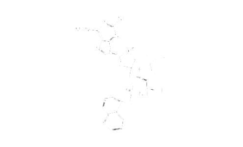 CNc1nc(N)nc2c1ncn2[C@@H]1O[C@](F)(CO[P@@](=O)(N[C@H](C)C(=O)OCC(C)(C)C)Oc2cccc3ccccc23)[C@@H](O)[C@@]1(C)F